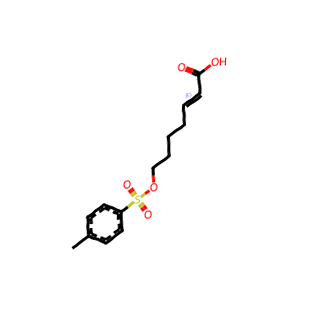 Cc1ccc(S(=O)(=O)OCCCC/C=C/C(=O)O)cc1